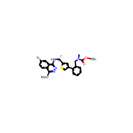 COc1nnc(N[C@H](C)c2cc(-c3ccccc3CN(C)C(=O)OC(C)(C)C)cs2)c2cc(Br)ccc12